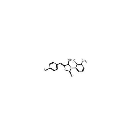 CC(=O)c1ccc(/C=C2\SC(=S)N(c3cccc(C)c3C)C2=O)cc1